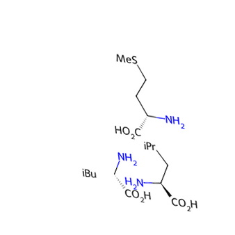 CC(C)C[C@H](N)C(=O)O.CC[C@H](C)[C@H](N)C(=O)O.CSCC[C@H](N)C(=O)O